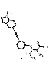 Cn1ncc2cc(C#Cc3cccc(O/C(NN)=C(/N)C(=O)O)c3)ccc21